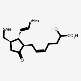 CCCCCC/C=C/[C@H]1[C@H](CSC)CC(=O)[C@@H]1C/C=C\CCC(O)C(=O)O